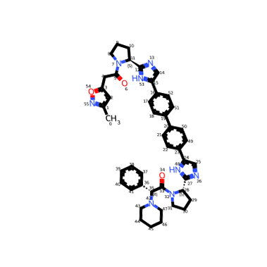 Cc1cc(CC(=O)N2CCC[C@H]2c2ncc(-c3ccc(-c4ccc(-c5cnc([C@@H]6CCCN6C(=O)[C@@H](c6ccccc6)N6CCCCC6)[nH]5)cc4)cc3)[nH]2)on1